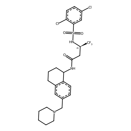 O=C(C[C@@H](NS(=O)(=O)c1cc(Cl)ccc1Cl)C(F)(F)F)NC1CCCc2cc(CN3CCCCC3)ccc21